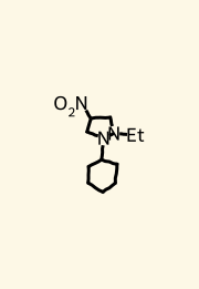 CCN1CC([N+](=O)[O-])CN1C1CCCCC1